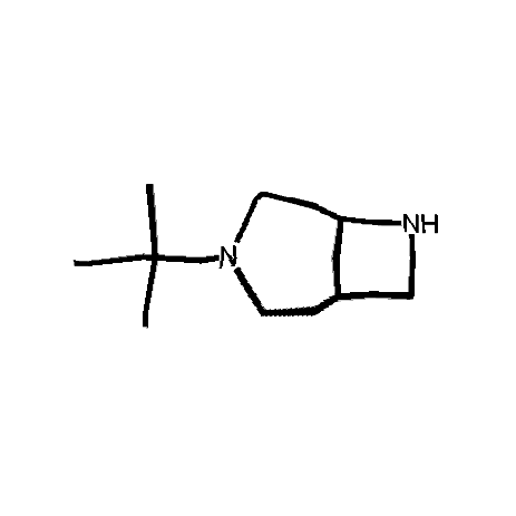 CC(C)(C)N1CC2CNC2C1